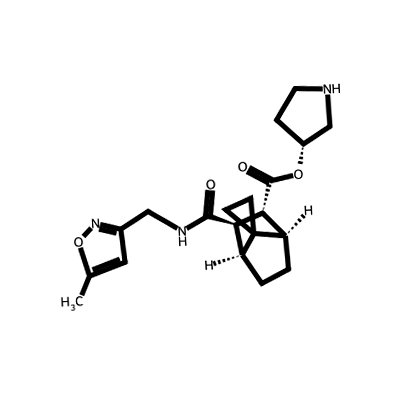 Cc1cc(CNC(=O)[C@H]2[C@H](C(=O)O[C@@H]3CCNC3)[C@H]3CC[C@@H]2C32CC2)no1